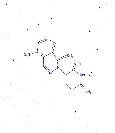 C=C1CCC(N2N=Cc3c(cccc3[N+](=O)[O-])C2=C)C(=C)N1